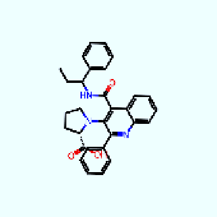 CCC(NC(=O)c1c(N2CCC[C@H]2C(=O)O)c(-c2ccccc2)nc2ccccc12)c1ccccc1